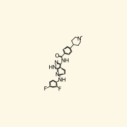 CN1CCC(c2ccc(C(=O)Nc3n[nH]c4nc(Nc5ccc(F)cc5F)ccc34)cc2)CC1